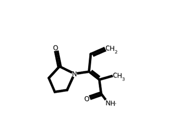 C=CC(=C(C)C([NH])=O)N1CCCC1=O